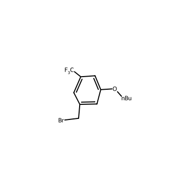 CCCCOc1cc(CBr)cc(C(F)(F)F)c1